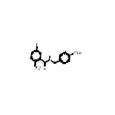 O=C(O)c1ccc(CNC(=O)c2cc(F)ccc2C(=O)O)cc1